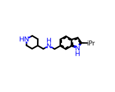 CC(C)c1cc2ccc(CNCC3CCNCC3)cc2[nH]1